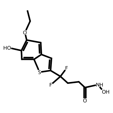 CCOc1cc2cc(C(F)(F)CCC(=O)NO)sc2cc1O